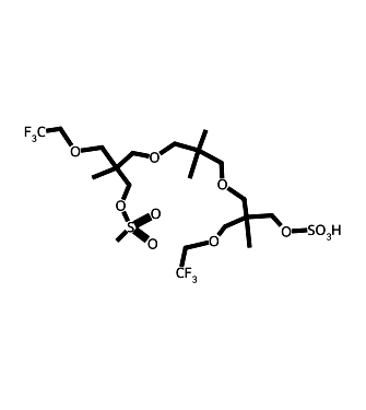 CC(C)(COCC(C)(COCC(F)(F)F)COS(C)(=O)=O)COCC(C)(COCC(F)(F)F)COS(=O)(=O)O